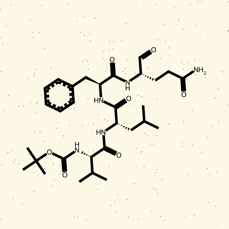 CC(C)C[C@H](NC(=O)[C@@H](NC(=O)OC(C)(C)C)C(C)C)C(=O)N[C@@H](Cc1ccccc1)C(=O)N[C@H](C=O)CCC(N)=O